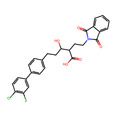 O=C(O)C(CCN1C(=O)c2ccccc2C1=O)C(O)CCc1ccc(-c2ccc(Cl)c(F)c2)cc1